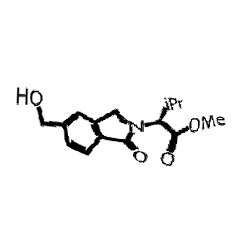 COC(=O)[C@H](C(C)C)N1Cc2cc(CO)ccc2C1=O